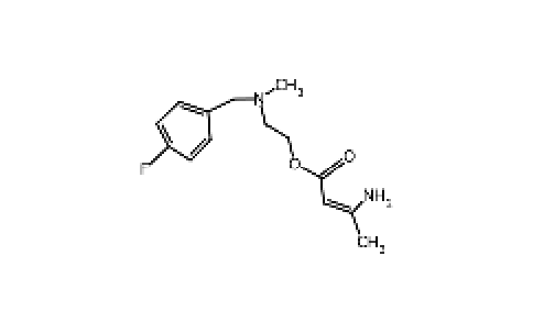 CC(N)=CC(=O)OCCN(C)Cc1ccc(F)cc1